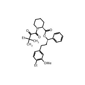 CCc1ccc(CC[C@@H](OC(=O)[C@@H]2CCCCN2C(=O)C(=O)C(C)(C)CC)c2ccccc2)cc1OC